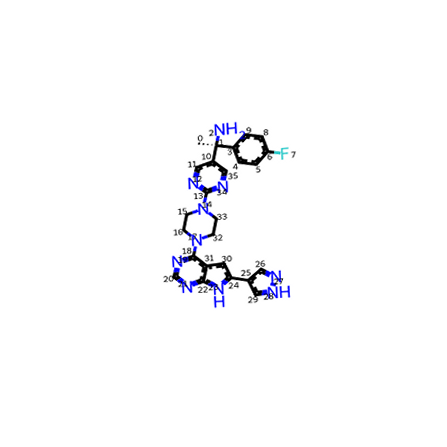 C[C@](N)(c1ccc(F)cc1)c1cnc(N2CCN(c3ncnc4[nH]c(-c5cn[nH]c5)cc34)CC2)nc1